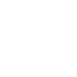 CC(F)(F)CCCCCOc1ccccc1